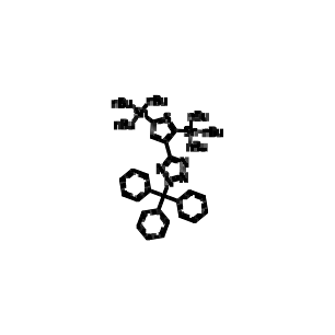 CCC[CH2][Sn]([CH2]CCC)([CH2]CCC)[c]1cc(-c2nnn(C(c3ccccc3)(c3ccccc3)c3ccccc3)n2)[c]([Sn]([CH2]CCC)([CH2]CCC)[CH2]CCC)s1